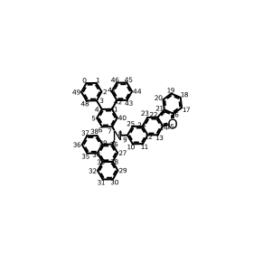 c1ccc(-c2ccc(N(c3ccc4cc5oc6ccccc6c5cc4c3)c3cc4ccccc4c4ccccc34)cc2-c2ccccc2)cc1